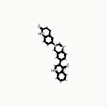 O=C1CCc2cc(N3C=Nc4ccc(-c5c[nH]c6ccccc6c5=O)cc4C3)ccc2N1